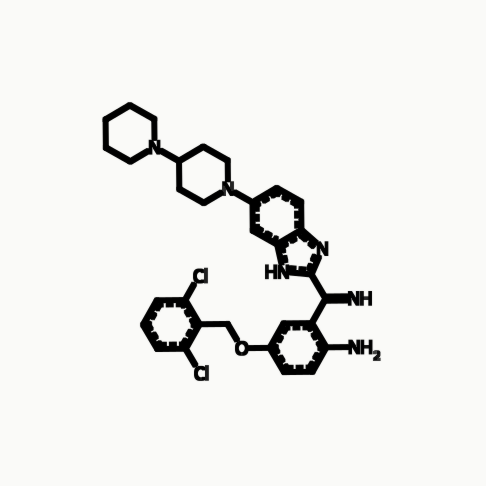 N=C(c1nc2ccc(N3CCC(N4CCCCC4)CC3)cc2[nH]1)c1cc(OCc2c(Cl)cccc2Cl)ccc1N